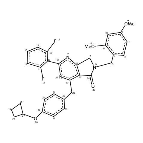 COc1ccc(CN2Cc3nc(-c4c(F)cccc4F)nc(Cc4ccc(OC5CCC5)cc4)c3C2=O)c(OC)c1